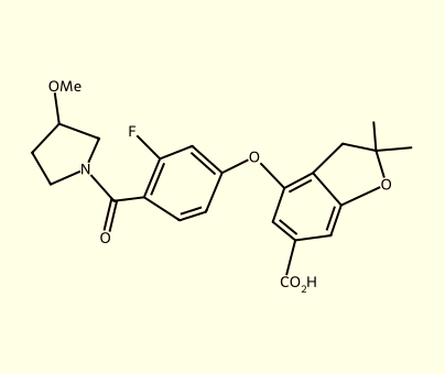 COC1CCN(C(=O)c2ccc(Oc3cc(C(=O)O)cc4c3CC(C)(C)O4)cc2F)C1